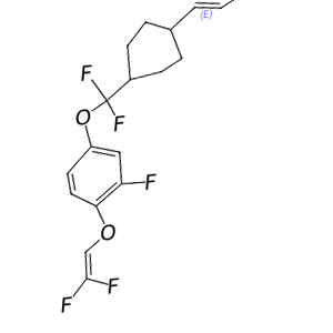 C/C=C/C1CCC(C(F)(F)Oc2ccc(OC=C(F)F)c(F)c2)CC1